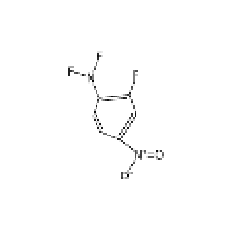 O=[N+]([O-])c1ccc(N(F)F)c(F)c1